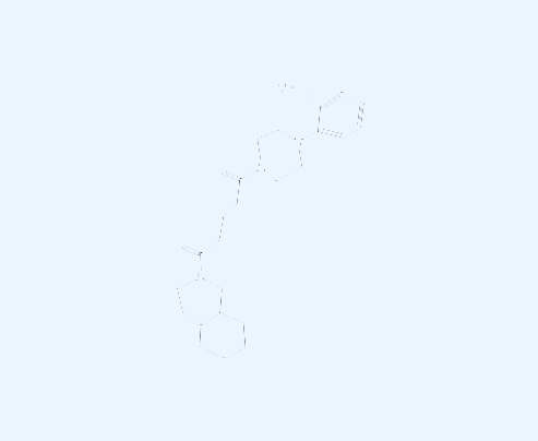 COc1ccccc1N1CCN(C(=O)CCCC(=O)N2CCC3CCCCC3C2)CC1